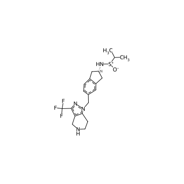 CC(C)[S+]([O-])N[C@H]1Cc2ccc(Cn3nc(C(F)(F)F)c4c3CCNC4)cc2C1